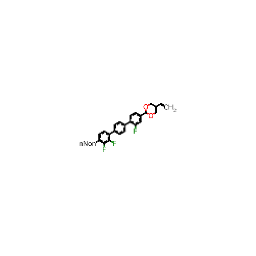 C=CC1COC(c2ccc(-c3ccc(-c4ccc(CCCCCCCCC)c(F)c4F)cc3)c(F)c2)OC1